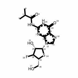 CC(C)C(=O)Nc1nc2c(ncn2[C@@H]2S[C@H](CO)C(F)[C@@H]2O)c(=O)[nH]1